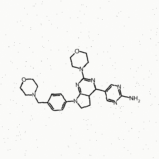 Nc1ncc(C2N=C(N3CCOCC3)N=C3C2CCN3c2ccc(CN3CCOCC3)cc2)cn1